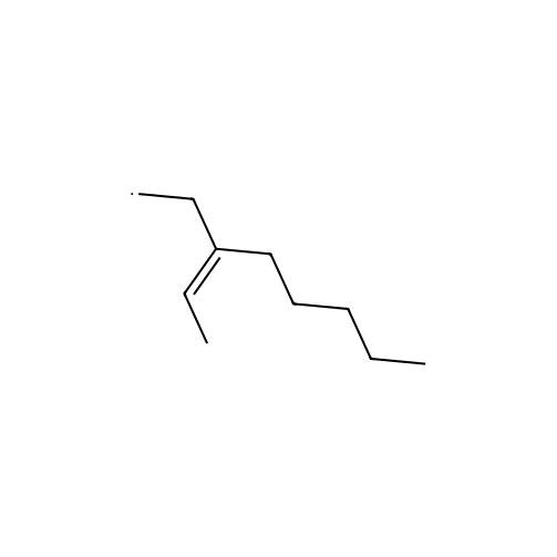 [CH2]CC(=CC)CCCCC